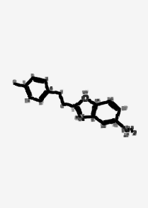 Cc1ccc(CCc2nc3cc(N)ccc3o2)cc1